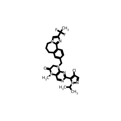 CC(C)n1ncc(Cl)c1-c1ncc2c(n1)N(Cc1ccc3c(c1)CCCn1cc(C(C)(F)F)nc1-3)CC(=O)N2C